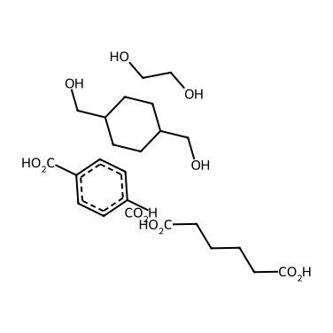 O=C(O)CCCCC(=O)O.O=C(O)c1ccc(C(=O)O)cc1.OCC1CCC(CO)CC1.OCCO